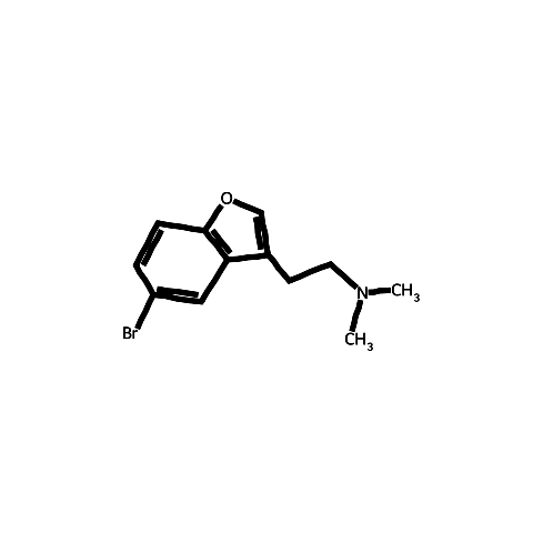 CN(C)CCc1coc2ccc(Br)cc12